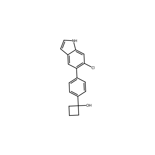 OC1(c2ccc(-c3cc4cc[nH]c4cc3Cl)cc2)CCC1